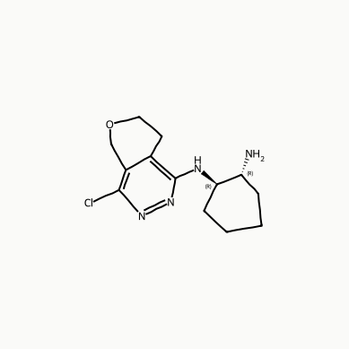 N[C@@H]1CCCC[C@H]1Nc1nnc(Cl)c2c1CCOC2